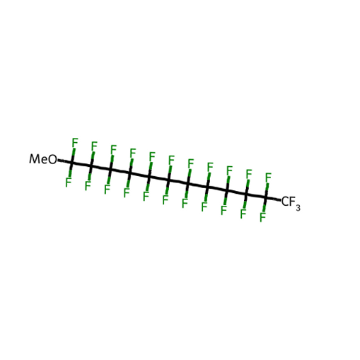 COC(F)(F)C(F)(F)C(F)(F)C(F)(F)C(F)(F)C(F)(F)C(F)(F)C(F)(F)C(F)(F)C(F)(F)C(F)(F)C(F)(F)F